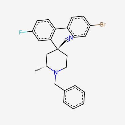 C[C@@H]1C[C@](C#N)(c2cc(F)ccc2-c2ccc(Br)cc2)CCN1Cc1ccccc1